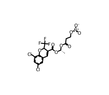 C[C@@H](OC(=O)CCO[N+](=O)[O-])OC(=O)C1=Cc2cc(Cl)cc(Cl)c2OC1C(F)(F)F